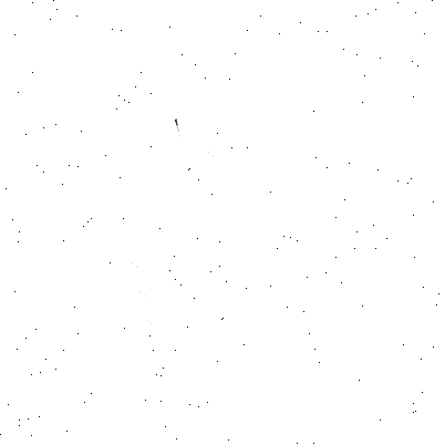 COC(=O)C1CCN([C@H](C)c2cccc(CN=[N+]=[N-])c2)CC1